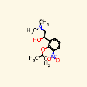 CC(C)Oc1c(C(O)CN(C)C)cccc1[N+](=O)[O-]